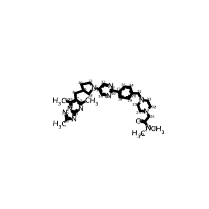 Cc1nc2nc(C)c(CC3CCN(c4cnc(-c5ccc(CN6CCN(CC(=O)N(C)C)CC6)cc5)nc4)C3)c(C)n2n1